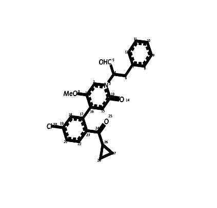 COc1cn(C(C=O)Cc2ccccc2)c(=O)cc1-c1cc(Cl)ccc1C(=O)C1CC1